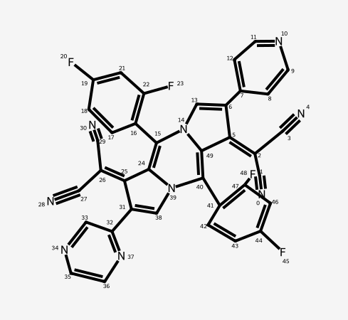 N#CC(C#N)=c1c(-c2ccncc2)cn2c(-c3ccc(F)cc3F)c3c(=C(C#N)C#N)c(-c4cnccn4)cn3c(-c3ccc(F)cc3F)c12